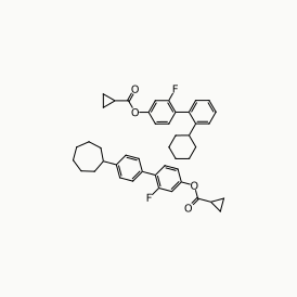 O=C(Oc1ccc(-c2ccc(C3CCCCCC3)cc2)c(F)c1)C1CC1.O=C(Oc1ccc(-c2ccccc2C2CCCCC2)c(F)c1)C1CC1